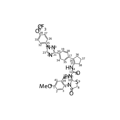 COc1ccc(N2C(=O)CS/C2=N\C(=O)NC2=C(c3ccc(-c4ncn(-c5ccc(OC(F)(F)F)cc5)n4)cc3)CCC2)c(C(C)C)c1